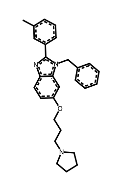 Cc1cccc(-c2nc3ccc(OCCCN4CCCC4)cc3n2Cc2ccccc2)c1